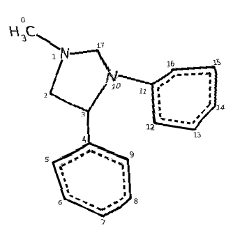 CN1CC(c2ccccc2)N(c2ccccc2)C1